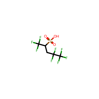 O=S(=O)(O)C(CC(F)(F)C(F)(F)F)C(F)(F)F